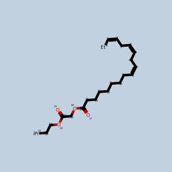 CC/C=C\C/C=C\C/C=C\CCCCCCCC(=O)OCC(=O)OCCC(C)C